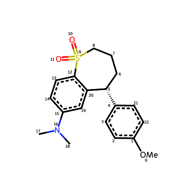 COc1ccc([C@H]2CCCS(=O)(=O)c3ccc(N(C)C)cc32)cc1